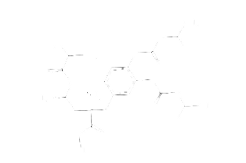 COC(=O)[C@](N)(Cc1ccc(OC(=O)OC(C)C)c(OC(=O)OC(C)C)c1)CC(C)OC(=O)C(C)C